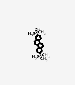 C[Si](C)(C)c1ccc2c(ccc3c4ccc([Si](C)(C)C)cc4ccc23)c1